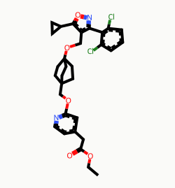 CCOC(=O)Cc1ccnc(OCC23CCC(OCc4c(-c5c(Cl)cccc5Cl)noc4C4CC4)(CC2)CC3)c1